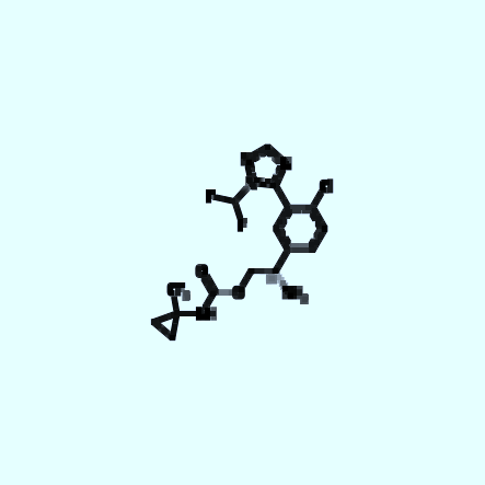 N[C@H](COC(=O)NC1(C(F)(F)F)CC1)c1ccc(Cl)c(-c2ncnn2C(F)F)c1